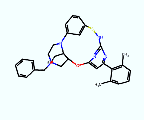 Cc1cccc(C)c1-c1cc2nc(n1)NSc1cccc(c1)N1CCN(Cc3ccccc3)CC(O2)C1CC(C)C